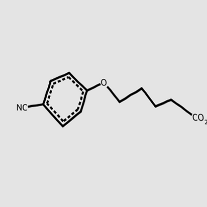 CCOC(=O)CCCCOc1ccc(C#N)cc1